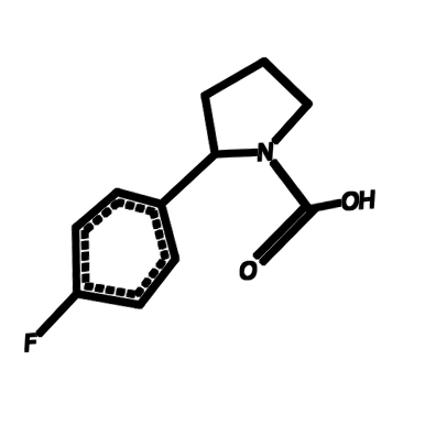 O=C(O)N1CCCC1c1ccc(F)cc1